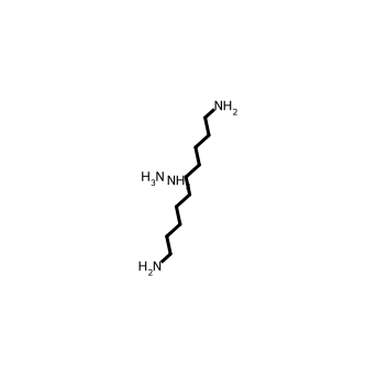 N.N.NCCCCCCCCCCN